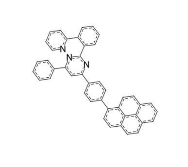 c1ccc(-c2cc(-c3ccc(-c4ccc5ccc6cccc7ccc4c5c67)cc3)nc(-c3ccccc3-c3ccccn3)n2)cc1